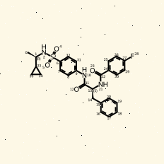 C[C@@H](NS(=O)(=O)c1ccc(NC(=O)[C@H](Cc2ccccc2)NC(=O)c2ccc(F)cc2)cc1)C1CC1